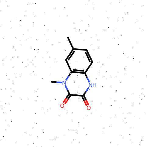 Cc1ccc2[nH]c(=O)c(=O)n(C)c2c1